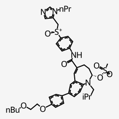 CCCCOCCOc1ccc(-c2ccc3c(c2)C=C(C(=O)Nc2ccc([S+]([O-])Cc4cncn4CCC)cc2)CC[C@H](OS(C)(=O)=O)N3CC(C)C)cc1